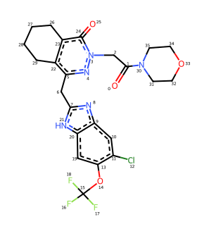 O=C(Cn1nc(Cc2nc3cc(Cl)c(OC(F)(F)F)cc3[nH]2)c2c(c1=O)CCCC2)N1CCOCC1